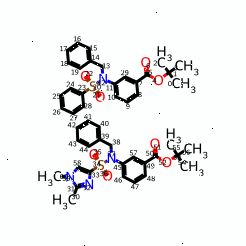 CC(C)(C)OC(=O)c1cccc(N(Cc2ccccc2)S(=O)(=O)c2ccccc2)c1.Cc1nc(S(=O)(=O)N(Cc2ccccc2)c2cccc(C(=O)OC(C)(C)C)c2)cn1C